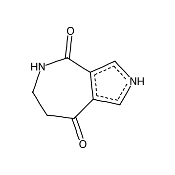 O=C1CCNC(=O)c2c[nH]cc21